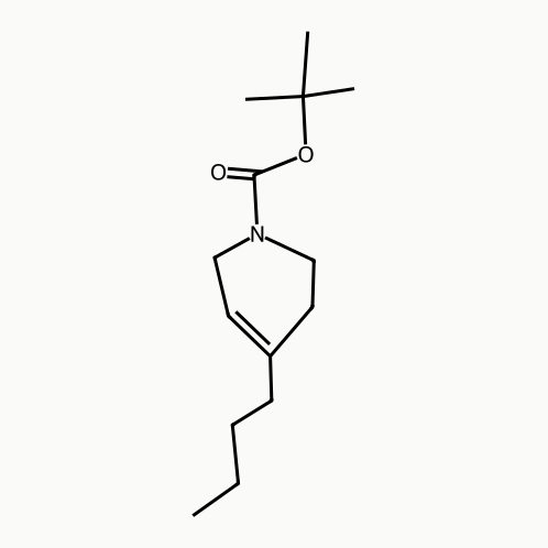 CCCCC1=CCN(C(=O)OC(C)(C)C)CC1